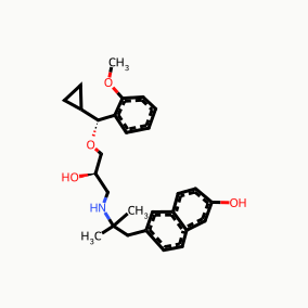 COc1ccccc1[C@H](OC[C@H](O)CNC(C)(C)Cc1ccc2cc(O)ccc2c1)C1CC1